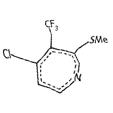 [CH2]Sc1nccc(Cl)c1C(F)(F)F